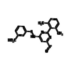 Cc1cccc(C)c1-c1nc(NSc2cccc(C(=O)O)c2)cc([S+]=O)n1